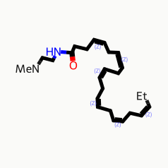 CC/C=C\C/C=C\C/C=C\C/C=C\C/C=C\C/C=C\CCC(=O)NCCNC